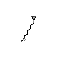 COCCCC=CCC1[CH]C1